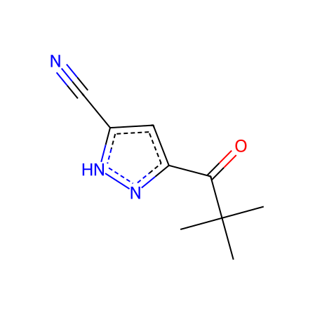 CC(C)(C)C(=O)c1cc(C#N)[nH]n1